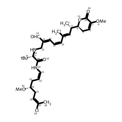 COC1=CC[C@@H]([C@@H](C)/C=C(C)/C=C\C=C(\C=O)CN[C@H](C(=O)N/C=C\C[C@H](C/C=C(\C)Cl)OC)C(C)(C)C)OC1=O